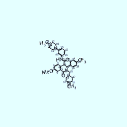 COc1ccc2c(c1)C(=O)N(CC1CCN(C)CC1)C(c1ccc(C(F)(F)F)cc1)C2C(=O)Nc1cccc(N2CCN(C)CC2)c1